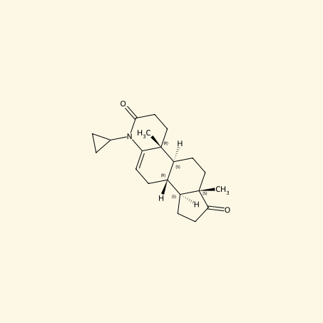 C[C@]12CCC(=O)N(C3CC3)C1=CC[C@@H]1[C@@H]2CC[C@]2(C)C(=O)CC[C@@H]12